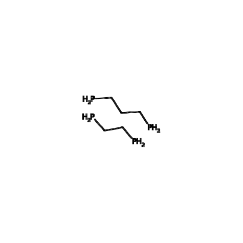 PCCCP.PCCP